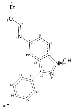 CCOC=Nc1ccc2[nH]nc(-c3ccc(F)cc3)c2c1.Cl